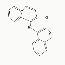 [Cl-].c1ccc2[c]([Bi+][c]3cccc4ccccc34)cccc2c1